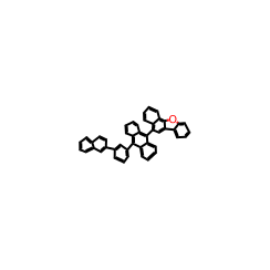 c1cc(-c2ccc3ccccc3c2)cc(-c2c3ccccc3c(-c3cc4c5ccccc5oc4c4ccccc34)c3ccccc23)c1